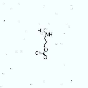 CNCCCOC(=O)Cl